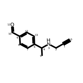 C#CCNC(C)c1ccc(C=O)cc1